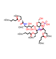 CCCCCCCCCCCCCC(=O)O[C@H](CCCCCCCCCCC)CC(=O)N[C@H]1[C@H](OC[C@@H](O)[C@@H](O)[C@H](O)[C@H](C=O)NC(=O)C[C@@H](CCCCCCCCCCC)OC(=O)CCCCCCCCCCCCC)O[C@H](CO)[C@@H](OP(=O)(O)O)[C@@H]1OC(=O)C[C@@H](CCCCCCCCCCC)OC(=O)CCCCCCCCCCCCC